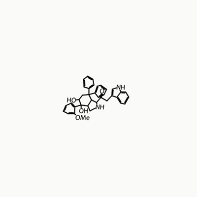 COc1ccccc1C1(O)C(O)CC(c2ccccc2)(c2ccccc2)C2C(C(=O)Cc3c[nH]c4ccccc34)NCC21